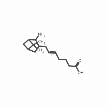 CC1(C)C2CC(C/C=C/CCCC(=O)O)C(N)C1C2